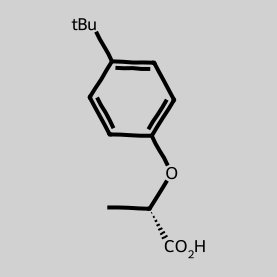 C[C@H](Oc1ccc(C(C)(C)C)cc1)C(=O)O